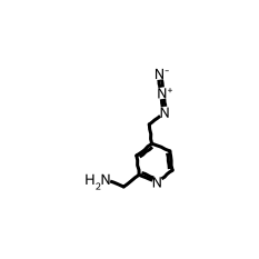 [N-]=[N+]=NCc1ccnc(CN)c1